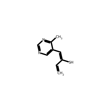 C=C/C(S)=C\c1cncnc1C